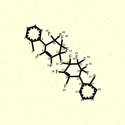 Cc1ccccc1C1C(F)=C(F)C(F)(SC2(F)C(F)=C(F)C(c3ccccc3C)C(F)(F)C2(F)F)C(F)(F)C1(F)F